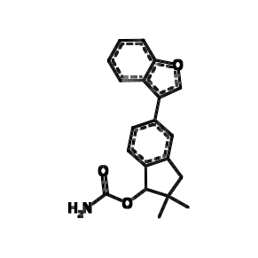 CC1(C)Cc2cc(-c3coc4ccccc34)ccc2C1OC(N)=O